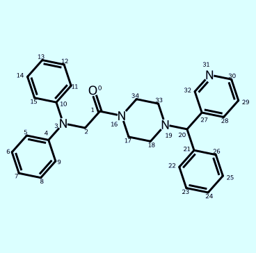 O=C(CN(c1ccccc1)c1ccccc1)N1CCN(C(c2ccccc2)c2cccnc2)CC1